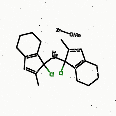 CC1=CC2=C(CCCC2)C1(Cl)[SiH2]C1(Cl)C(C)=CC2=C1CCCC2.C[O][Zr]